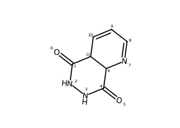 O=C1NNC(=O)C2N=CC=CC12